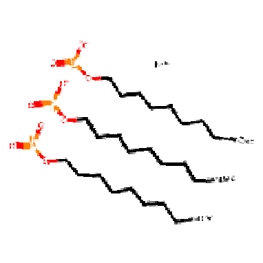 CCCCCCCCCCCCCCCCCCO[PH](=O)[O-].CCCCCCCCCCCCCCCCCCO[PH](=O)[O-].CCCCCCCCCCCCCCCCCCO[PH](=O)[O-].[Fe+3]